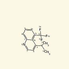 CC(C)c1ccnc2cccc(C(F)(F)F)c12